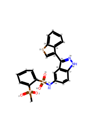 CS(=O)(=O)c1ccccc1S(=O)(=O)Nc1ccc2[nH]nc(-c3csc4ccccc34)c2c1